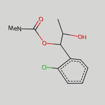 CNC(=O)OC(c1ccccc1Cl)C(C)O